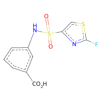 O=C(O)c1cccc(NS(=O)(=O)c2csc(F)n2)c1